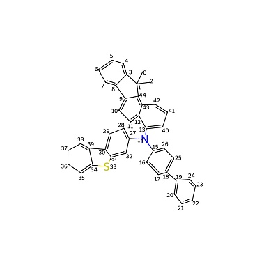 CC1(C)c2ccccc2-c2ccc3c(N(c4ccc(-c5ccccc5)cc4)c4ccc5c(c4)sc4ccccc45)cccc3c21